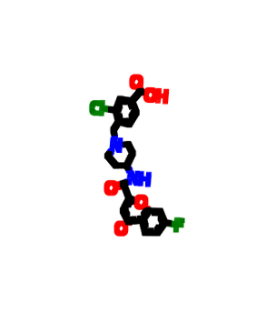 O=C(O)c1ccc(CN2CCC(NC(=O)c3cc(=O)c4ccc(F)cc4o3)CC2)c(Cl)c1